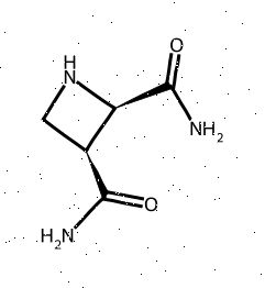 NC(=O)[C@H]1CN[C@H]1C(N)=O